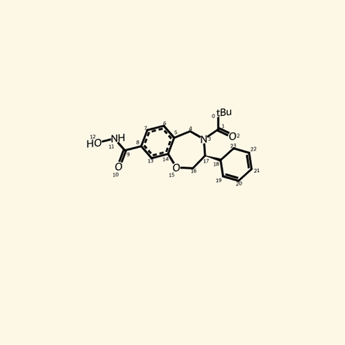 CC(C)(C)C(=O)N1Cc2ccc(C(=O)NO)cc2OC[C@@H]1C1C=CC=CC1